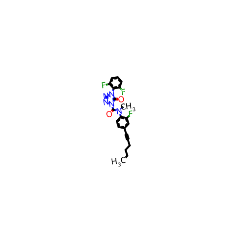 CCCCC#Cc1ccc(N(C)C(=O)n2nnn(-c3c(F)cccc3F)c2=O)c(F)c1